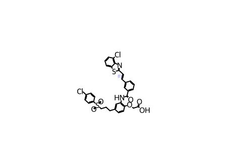 O=C(O)COc1ccc(CCCS(=O)(=O)c2ccc(Cl)cc2)cc1NC(=O)c1cccc(/C=C/c2nc3c(Cl)cccc3s2)c1